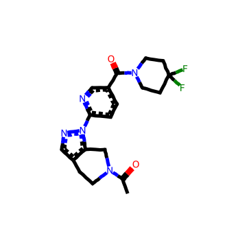 CC(=O)N1CCc2cnn(-c3ccc(C(=O)N4CCC(F)(F)CC4)cn3)c2C1